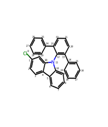 Clc1ccc2c3ccccc3n(-c3c(-c4ccccc4)cccc3-c3ccccc3)c2c1